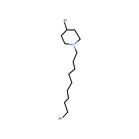 CC(C)CCCCCCCCCN1CCC(C(C)C)CC1